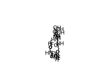 O=C(CCCC1CCN(c2cc(N3CCC[C@H]3C(=O)NCCc3ccc(C(F)(F)F)cc3)nc(C(F)(F)F)n2)CC1)NCCNc1ncnc2c1ncn2C1OC(CO)C(O)C1O